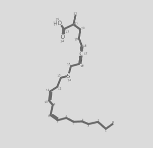 CCCCCCC/C=C\C/C=C\CCSCC=C=CCCC(C)C(=O)O